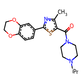 Cc1nc(-c2ccc3c(c2)OCCO3)sc1C(=O)N1CCN(C(C)C)CC1